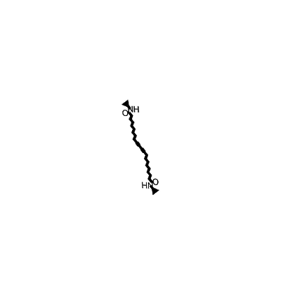 O=C(CCCCCCCCC#CC#CCCCCCCCCC(=O)NC1CC1)NC1CC1